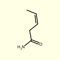 C/C=C\CC(N)=O